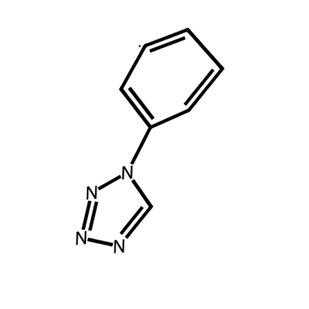 [c]1cccc(-n2cnnn2)c1